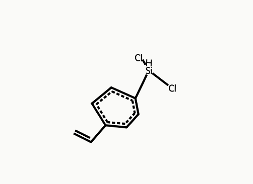 C=Cc1ccc([SiH](Cl)Cl)cc1